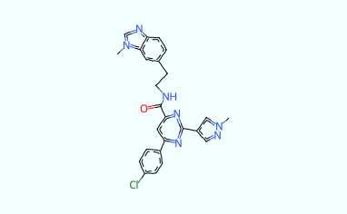 Cn1cc(-c2nc(C(=O)NCCc3ccc4ncn(C)c4c3)cc(-c3ccc(Cl)cc3)n2)cn1